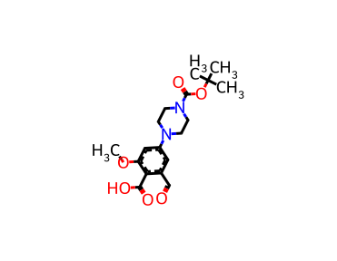 COc1cc(N2CCN(C(=O)OC(C)(C)C)CC2)cc(C=O)c1C(=O)O